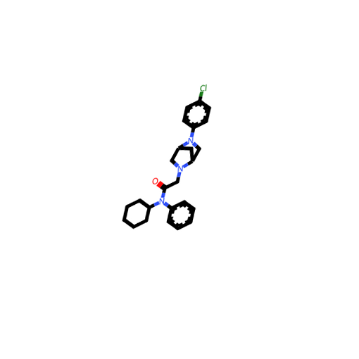 O=C(CN1CC2CC1CN2c1ccc(Cl)cc1)N(c1ccccc1)C1CCCCC1